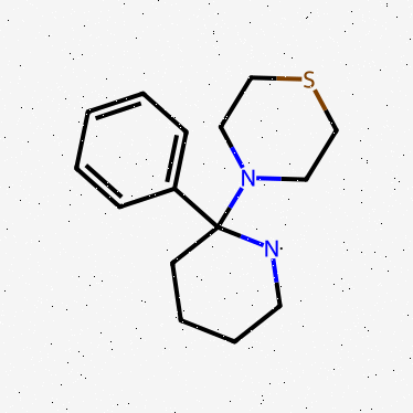 c1ccc(C2(N3CCSCC3)CCCC[N]2)cc1